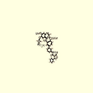 COc1ccc(-c2cccc(NC(=O)N3C(=O)OC[C@H]3c3ccccc3)c2)cc1Nc1ncnc2cc(OC)c(OC3CN(C(=O)O)C3)cc12